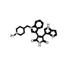 CC(C)N1CCC(Cn2cc(C3=C(c4c[nH]c5ccsc45)C(=O)NC3=O)c3ccccc32)CC1